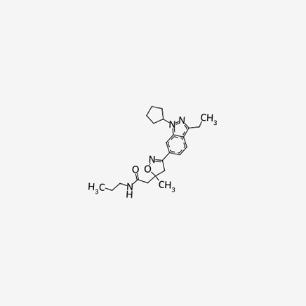 CCCNC(=O)CC1(C)CC(c2ccc3c(CC)nn(C4CCCC4)c3c2)=NO1